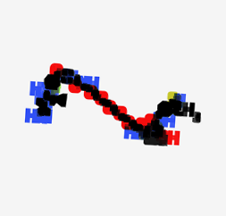 Cc1ncsc1-c1ccc(CNC(=O)[C@@H]2C[C@@H](O)CN2C(=O)[C@@H](NC(=O)CCOCCOCCOCCOCCOCCNC(=O)CN2CCN(C(=O)c3ccc(Nc4nc(C5CC5)cn5c(-c6cn[nH]c6)cnc45)c(F)c3)CC2)C(C)(C)C)cc1